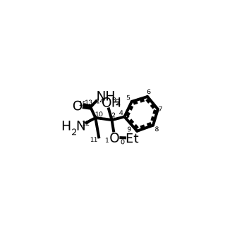 CCOC(O)(c1ccccc1)C(C)(N)C(N)=O